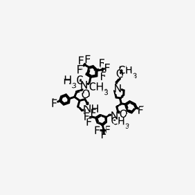 CC(c1cc(C(F)(F)F)cc(C(F)(F)F)c1)N(C)C(=O)CC(c1ccc(F)cc1)C1CCNCC1.COCCN1CCC(C(CC(=O)N(C)Cc2cc(C(F)(F)F)cc(C(F)(F)F)c2)c2ccc(F)cc2)CC1